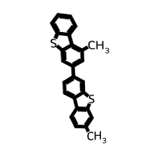 Cc1ccc2c(c1)sc1cc(-c3cc(C)c4c(c3)sc3ccccc34)ccc12